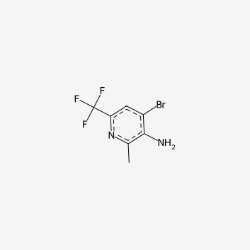 Cc1nc(C(F)(F)F)cc(Br)c1N